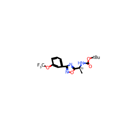 C[C@H](NC(=O)OC(C)(C)C)c1nc(-c2cccc(OC(F)(F)F)c2)no1